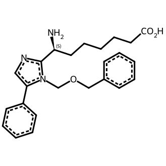 N[C@@H](CCCCCC(=O)O)c1ncc(-c2ccccc2)n1COCc1ccccc1